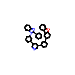 c1ccc(-c2nc3ccccc3n2-c2cccc(-c3cncc(-c4cccc(-c5ccc6oc7ccccc7c6c5)c4)c3)c2)cc1